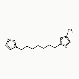 Cc1cc(CCCCCCCn2ccnc2)on1